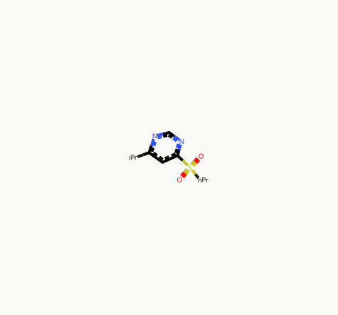 CCCS(=O)(=O)c1cc(C(C)C)ncn1